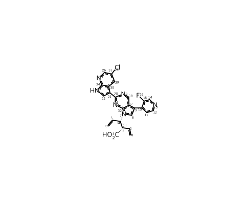 C=C[C@H](C(=O)O)[C@H](C=C)n1cc(-c2ccncc2F)c2cnc(-c3c[nH]c4ncc(Cl)cc34)nc21